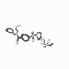 C=CS(=O)(=O)NC[C@H]1CCN(S(=O)(=O)c2ccc(C(=O)N(CCO)Cc3ccccc3)cc2)C1